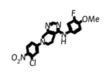 COc1ccc(Nc2ncnc3c2CCN(c2ccc([N+](=O)[O-])c(Cl)c2)C3)cc1F